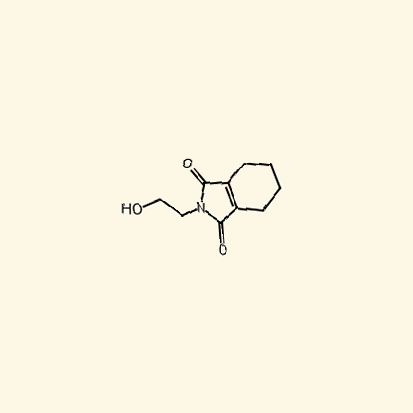 O=C1C2=C(CCCC2)C(=O)N1CCO